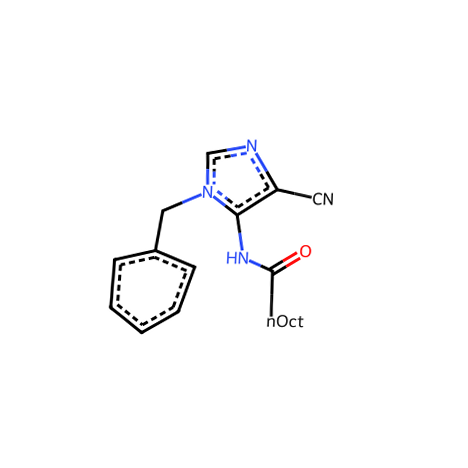 CCCCCCCCC(=O)Nc1c(C#N)ncn1Cc1ccccc1